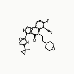 CC1(c2noc(-c3ncn4c3c(=O)n(CCN3CCOCC3)c3c(C#N)c(F)ccc34)n2)CC1